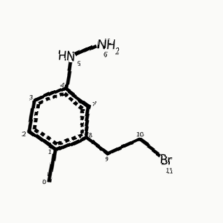 Cc1ccc(NN)cc1CCBr